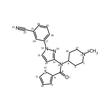 CN1CCC(N(C(=O)c2cccs2)c2ccn(-c3cccc(C#N)c3)n2)CC1